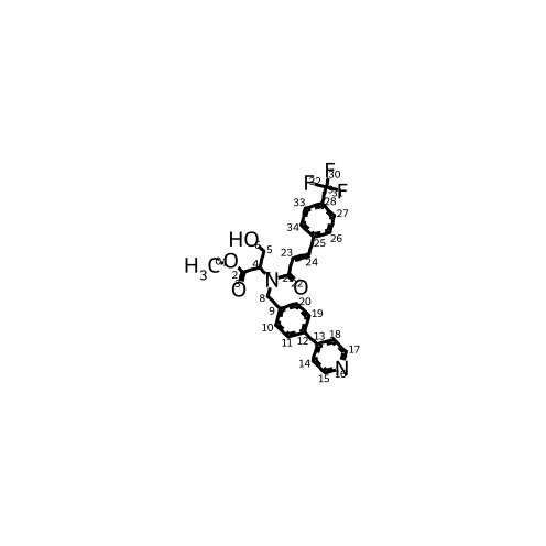 COC(=O)C(CO)N(Cc1ccc(-c2ccncc2)cc1)C(=O)C=Cc1ccc(C(F)(F)F)cc1